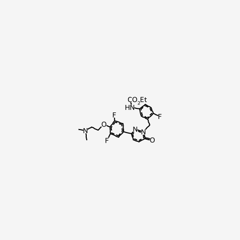 CCOC(=O)Nc1ccc(F)c(Cn2nc(-c3cc(F)c(OCCN(C)C)c(F)c3)ccc2=O)c1